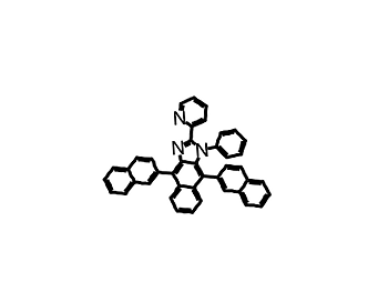 c1ccc(-n2c(-c3ccccn3)nc3c(-c4ccc5ccccc5c4)c4ccccc4c(-c4ccc5ccccc5c4)c32)cc1